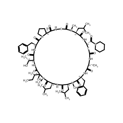 CC[C@H](C)C1(C)C(=O)N[C@@H]([C@@H](C)O)C(=O)N[C@@H](Cc2ccccc2)C(=O)N2CCC[C@H]2C(=O)NCC(=O)N(C)[C@@H](CC(C)C)C(=O)N[C@H](C(=O)N2CCCCC2)CC(=O)N[C@H](C)C(=O)N[C@@H](Cc2ccccc2)C(=O)N(C)[C@@H](CC(C)C)C(=O)N[C@@H](CC(C)C)C(=O)N1C